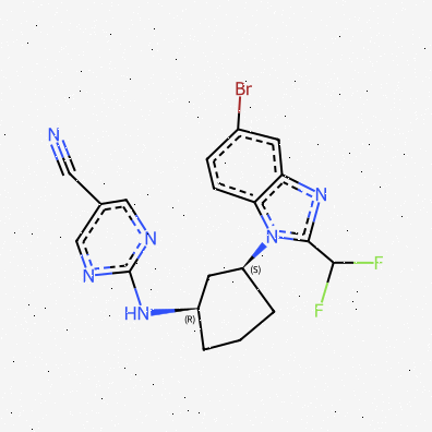 N#Cc1cnc(N[C@@H]2CCC[C@H](n3c(C(F)F)nc4cc(Br)ccc43)C2)nc1